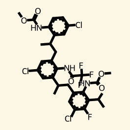 COC(=O)Nc1ccc(Cl)cc1C(C)Cc1cc(Cl)cc(C(C)Cc2cc(Cl)c(F)c(C(C)C)c2NC(=O)OC)c1NC(=O)C(F)(F)F